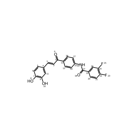 O=C(/C=C/c1ccc(O)c(O)c1)c1ccc(NC(=O)c2ccc(F)c(F)c2)cc1